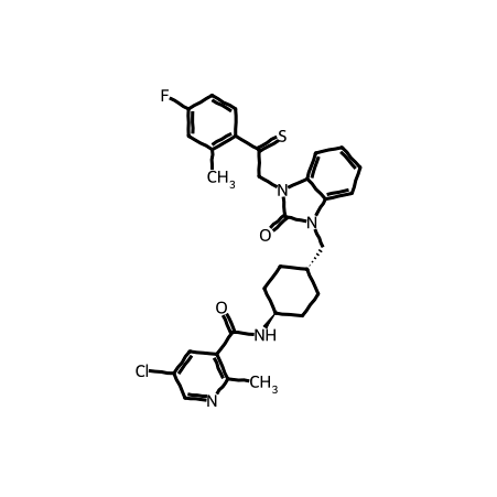 Cc1cc(F)ccc1C(=S)Cn1c(=O)n(C[C@H]2CC[C@H](NC(=O)c3cc(Cl)cnc3C)CC2)c2ccccc21